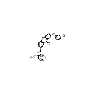 NC(CO)(CO)CCc1ccc2sc3ccc(Oc4cccc(Cl)c4)cc3c(=O)c2c1